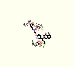 CC1C(/C(=C(\CC(F)(F)F)B2OC(C)(C)C(C)(C)O2)c2ccc(OCCN(C/C=C/C(=O)N(C)C)C(=O)OC(C)(C)C)nc2)=Cc2ccccc2[C@H]1C